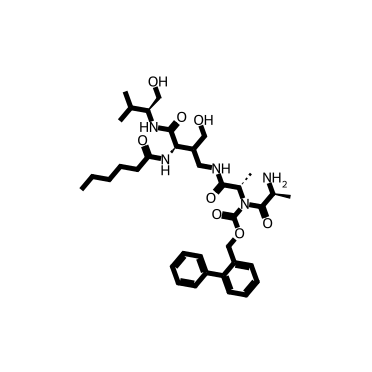 CCCCCC(=O)N[C@H](C(=O)N[C@H](CO)C(C)C)C(CO)CNC(=O)[C@H](C)N(C(=O)OCc1ccccc1-c1ccccc1)C(=O)[C@H](C)N